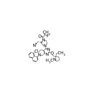 C=C(F)C(=O)N1CCN(c2nc(OCC3(CC)CCCN3C)nc3c2CCN(c2cccc4cccc(Cl)c24)C3)C[C@@H]1CC#N